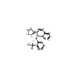 FC(F)(F)c1ncccc1CN1c2ncccc2C=NC1N1CCCC1